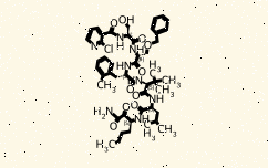 CCCC[C@H](NC(=O)[C@H](CC(C)C)NC(=O)[C@@H](NC(=O)[C@H](Cc1ccccc1C)NC(=O)[C@@H](COCc1ccccc1)NC(=O)[C@H](CO)NC(=O)c1cccnc1Cl)C(C)(C)C)C(=O)C(N)=O